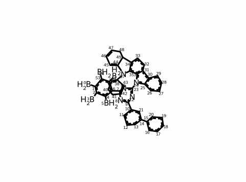 Bc1c(B)c(B)c(-c2nc(-c3cccc(-c4ccccc4)c3)nc(-n3c4ccccc4c4ccc5c(c43)N(C3=CCCC=C3)C3=CC=CCC35)n2)c(B)c1B